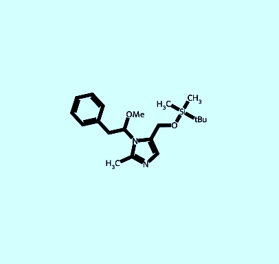 COC(Cc1ccccc1)n1c(CO[Si](C)(C)C(C)(C)C)cnc1C